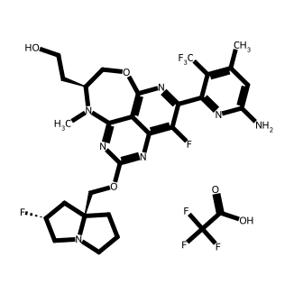 Cc1cc(N)nc(-c2nc3c4c(nc(OC[C@@]56CCCN5C[C@H](F)C6)nc4c2F)N(C)[C@@H](CCO)CO3)c1C(F)(F)F.O=C(O)C(F)(F)F